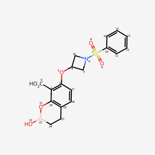 O=C(O)c1c(OC2CN(S(=O)(=O)c3ccccc3)C2)ccc2c1OB(O)CC2